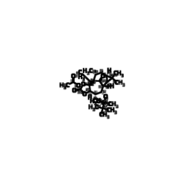 CC(=O)O[C@H]1C(C)=CC23C(=O)[C@@H]([C@H](O[Si](C)(C)C(C)(C)C)[C@H](C)[C@H]4OC(=O)OC412)[C@H]1[C@@H](C[C@H]3C)C1(C)C